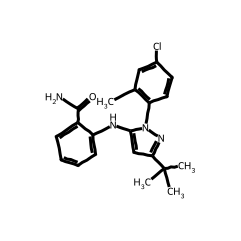 Cc1cc(Cl)ccc1-n1nc(C(C)(C)C)cc1Nc1ccccc1C(N)=O